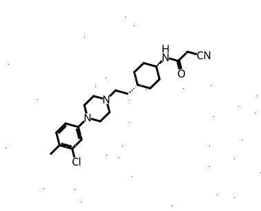 Cc1ccc(N2CCN(CC[C@H]3CC[C@H](NC(=O)CC#N)CC3)CC2)cc1Cl